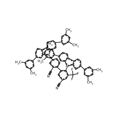 Cc1cc(C)cc(-c2ccc3c4ccc(-c5cc(C)cc(C)c5)cc4n(-c4ccc(-c5cc(C#N)cc(C(F)(F)F)c5-n5c6cc(-c7cc(C)cc(C)c7)ccc6c6ccc(-c7cc(C)cc(C)c7)cc65)c(C#N)c4)c3c2)c1